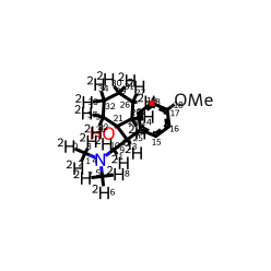 [2H]C([2H])([2H])N(C([2H])([2H])[2H])C([2H])([2H])C([2H])(c1ccc(OC)cc1)C1(O)C([2H])([2H])C([2H])([2H])C([2H])([2H])C([2H])([2H])C1([2H])[2H]